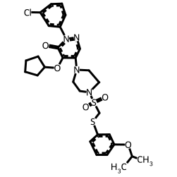 CC(C)Oc1cccc(SCS(=O)(=O)N2CCN(c3cnn(-c4cccc(Cl)c4)c(=O)c3OC3CCCC3)CC2)c1